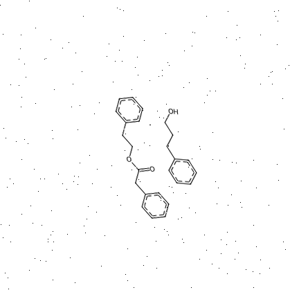 O=C(Cc1ccccc1)OCCc1ccccc1.OCCCc1ccccc1